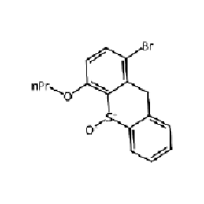 CCCOc1ccc(Br)c2c1[S+]([O-])c1ccccc1C2